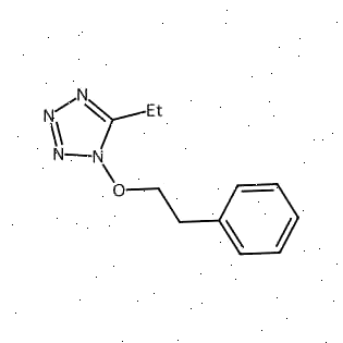 CCc1nnnn1OCCc1ccccc1